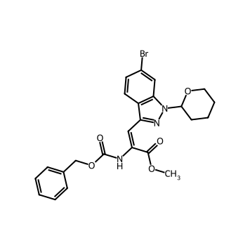 COC(=O)/C(=C\c1nn(C2CCCCO2)c2cc(Br)ccc12)NC(=O)OCc1ccccc1